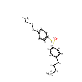 CCCCc1ccc([S+]([O-])c2ccc(CCCC)cc2)cc1